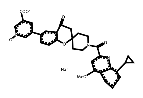 COc1cc(C(=O)N2CCC3(CC2)CC(=O)c2cc(-c4cc(C(=O)[O-])c[n+]([O-])c4)ccc2O3)nc2c(C3CC3)cccc12.[Na+]